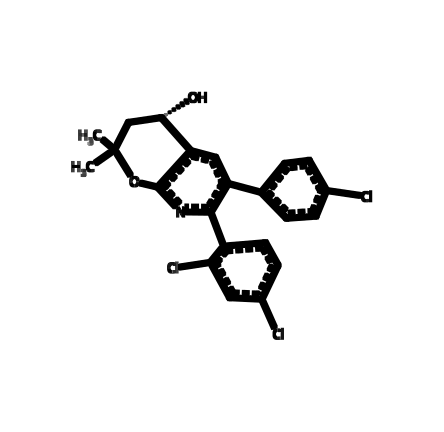 CC1(C)C[C@H](O)c2cc(-c3ccc(Cl)cc3)c(-c3ccc(Cl)cc3Cl)nc2O1